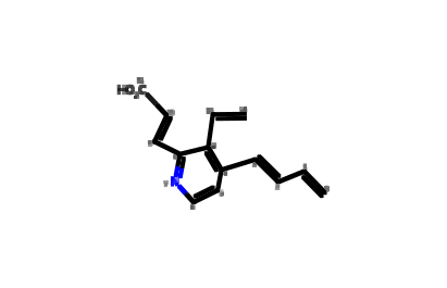 C=CC=Cc1ccnc(C=CC(=O)O)c1C=C